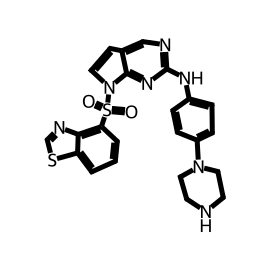 O=S(=O)(c1cccc2scnc12)n1ccc2cnc(Nc3ccc(N4CCNCC4)cc3)nc21